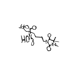 CC(C)C[C@](CCCCN1C(=O)N(C)C(C)(C)C1=O)(C(=O)O)N(O)C=O